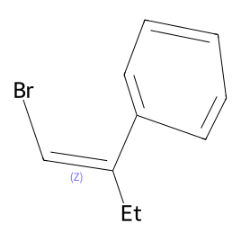 CC/C(=C/Br)c1ccccc1